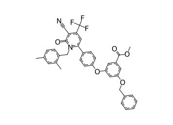 COC(=O)c1cc(OCc2ccccc2)cc(Oc2ccc(-c3cc(C(F)(F)F)c(C#N)c(=O)n3Cc3ccc(C)cc3C)cc2)c1